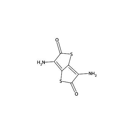 NC1=C2SC(=O)C(N)=C2SC1=O